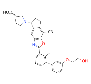 Cc1c(-c2cccc(OCCO)c2)cccc1-c1nc2cc3c(c(C#N)c2o1)CC[C@H]3N1CC[C@@H](C(=O)O)C1